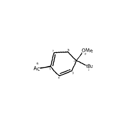 COC1(C(C)(C)C)C=CC(C(C)=O)=CC1